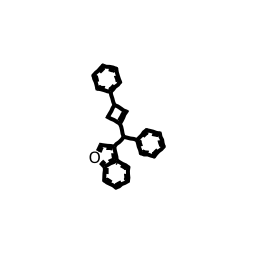 C1=C(C(c2ccccc2)c2coc3ccccc23)CC1c1ccccc1